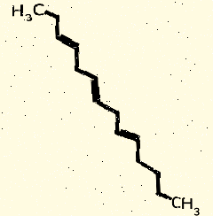 CCC=CCC=CCC=CCCCC